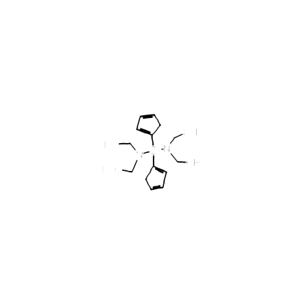 CC[N](CC)[Zr]([C]1=CC=CC1)([C]1=CC=CC1)[N](CC)CC